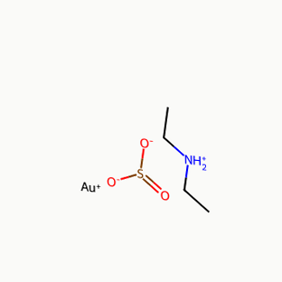 CC[NH2+]CC.O=S([O-])[O-].[Au+]